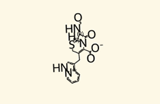 O=CN[C@@H]1C(=O)N2C(C(=O)[O-])=C(Cc3c[nH][n+]4ccccc34)CS[C@@H]12